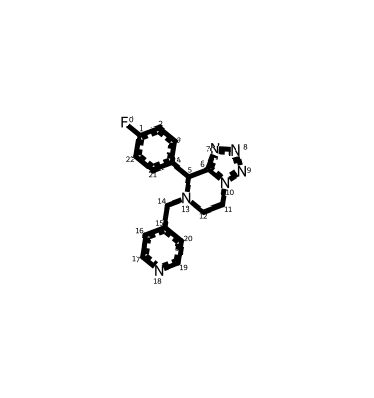 Fc1ccc(C2c3nnnn3CCN2Cc2ccncc2)cc1